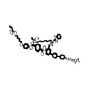 C=CC(=O)OCCCCCCOc1ccc(OC(=O)C2CCC(C(=O)Oc3ccc(C4CCC(C5CCC(CCCCCCC)CC5)CC4)cc3/C=N/N(CCCCCCOC(=O)C=C)c3nc4ccccc4s3)CC2)cc1